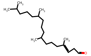 C/C(=C\C[C]=O)CCCC(C)CCCC(C)CCCC(C)C